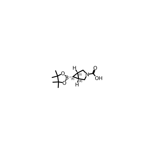 CC1(C)OB([C@@H]2[C@@H]3CN(C(=O)O)C[C@@H]32)OC1(C)C